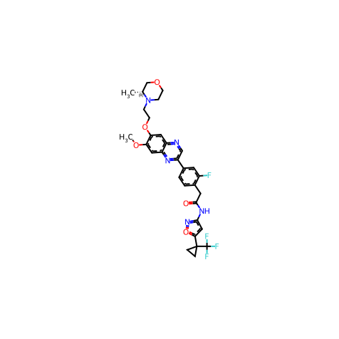 COc1cc2nc(-c3ccc(CC(=O)Nc4cc(C5(C(F)(F)F)CC5)on4)c(F)c3)cnc2cc1OCCN1CCOC[C@H]1C